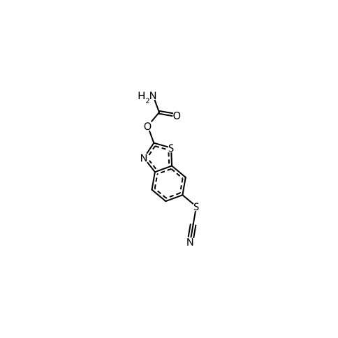 N#CSc1ccc2nc(OC(N)=O)sc2c1